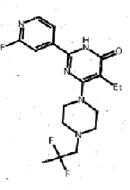 CCc1c(N2CCN(CC(C)(F)F)CC2)nc(-c2ccnc(F)c2)[nH]c1=O